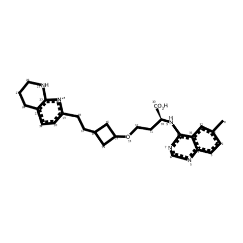 Cc1ccc2ncnc(N[C@@H](CCOC3CC(CCc4ccc5c(n4)NCCC5)C3)C(=O)O)c2c1